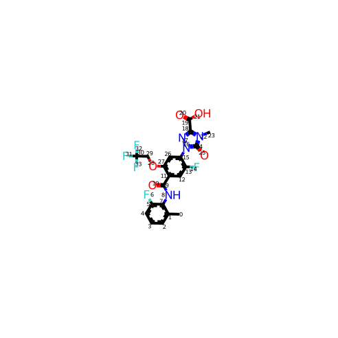 Cc1cccc(F)c1NC(=O)c1cc(F)c(-n2nc(C(=O)O)n(C)c2=O)cc1OCC(F)(F)F